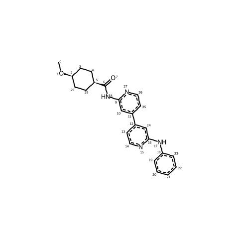 CO[C@H]1CC[C@@H](C(=O)Nc2cc(-c3ccnc(Nc4ccccc4)c3)ccn2)CC1